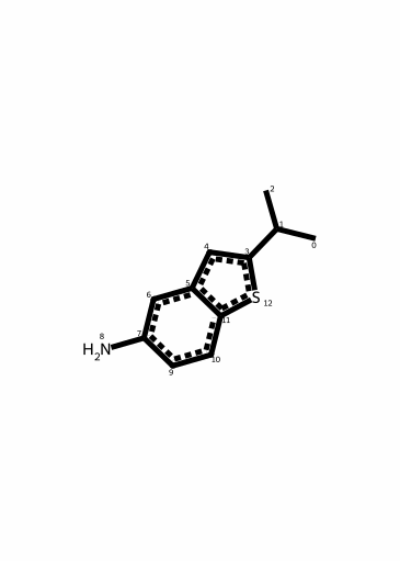 CC(C)c1cc2cc(N)ccc2s1